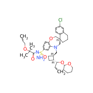 C=CCOC(C)(C)C(=O)N=S(N)(=O)c1ccc2c(c1)N(C[C@@H]1CC[C@H]1C(C=C)OC1CCCCO1)C[C@@]1(CCCc3cc(Cl)ccc31)CO2